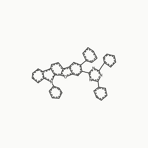 c1ccc(-c2nc(-c3ccccc3)nc(-c3cc4oc5c(ccc6c7ccccc7n(-c7ccccc7)c65)c4cc3-c3ccccc3)n2)cc1